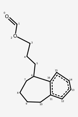 O=COCCCC1CCCCc2ccccc21